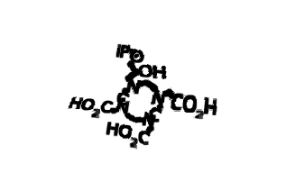 CC(C)OCC(O)CN1CCN(CC(=O)O)CCN(CC(=O)O)CCN(CC(=O)O)CC1